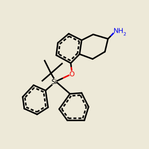 CC(C)(C)[Si](Oc1cccc2c1CCC(N)C2)(c1ccccc1)c1ccccc1